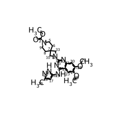 COC(=O)N1CCC2(CC1)CN(c1nc(Nc3cc(C)n[nH]3)c3cc(OC)c(OC)cc3n1)C2